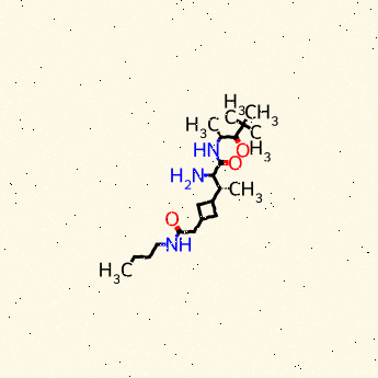 CCCCNC(=O)CC1CC([C@@H](C)C(N)C(=O)N[C@@H](C)C(=O)C(C)(C)C)C1